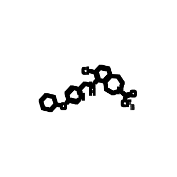 O=C(N1CCc2ccc(Cl)c(NCc3ccc(OC4CCCCC4)cn3)c2CC1)C(F)(F)F